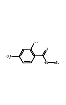 CCCCNC(=O)c1ccc([N+](=O)[O-])cc1CCCC